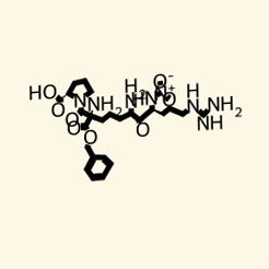 N=C(N)NCCC[C@H](N[N+](=O)[O-])C(=O)C(N)CCC[C@@](N)(C(=O)OCc1ccccc1)C(=O)N1CCC[C@H]1C(=O)O